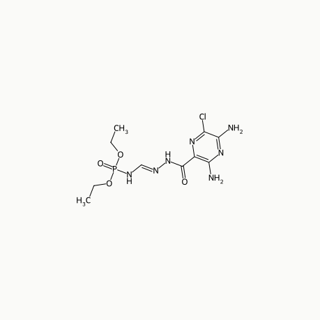 CCOP(=O)(NC=NNC(=O)c1nc(Cl)c(N)nc1N)OCC